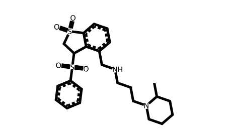 CC1CCCCN1CCCNCc1cccc2c1C(S(=O)(=O)c1ccccc1)CS2(=O)=O